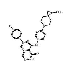 O=CC1CC12CCN(c1ccc(Nc3nc(-c4ccc(F)cc4)nc4cn[nH]c(=O)c34)cc1)CC2